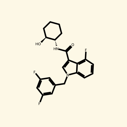 O=C(N[C@H]1CCCC[C@@H]1O)c1cn(Cc2cc(F)cc(F)c2)c2cccc(F)c12